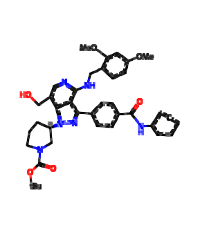 COc1ccc(CNc2ncc(CO)c3c2c(-c2ccc(C(=O)Nc4ccccc4)cc2)nn3[C@@H]2CCCN(C(=O)OC(C)(C)C)C2)c(OC)c1